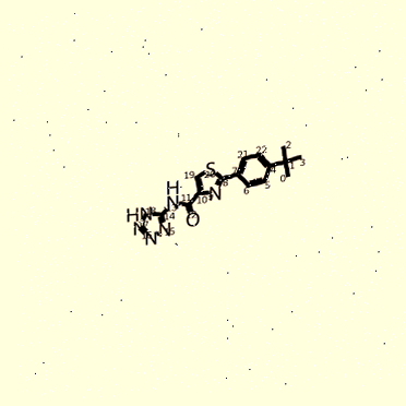 CC(C)(C)c1ccc(-c2nc(C(=O)Nc3nnn[nH]3)cs2)cc1